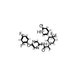 CC(C(=O)Nc1cnc(Oc2ccc(F)cc2F)cn1)N1CCC(F)(F)[C@@H](c2ccc(=O)[nH]c2)C1